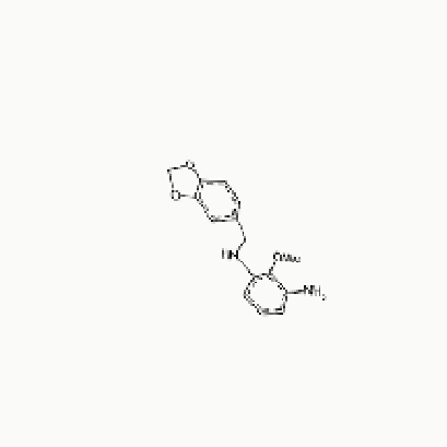 COc1c(N)c[c]cc1NCc1ccc2c(c1)OCO2